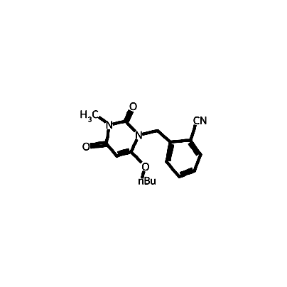 CCCCOc1cc(=O)n(C)c(=O)n1Cc1ccccc1C#N